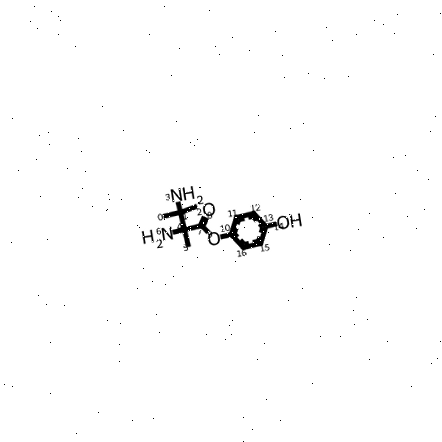 CC(C)(N)C(C)(N)C(=O)Oc1ccc(O)cc1